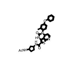 CC(=O)NC1CCC(NC(=O)c2sc3nccc4c3c2NC(=O)N4c2ccc(Oc3ccccc3)cc2C)C1